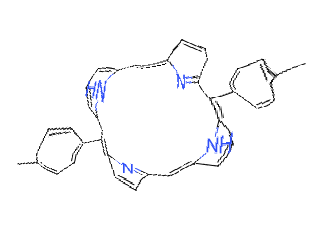 Cc1ccc(-c2c3nc(cc4ccc([nH]4)c(-c4ccc(C)cc4)c4nc(cc5ccc2[nH]5)C=C4)C=C3)cc1